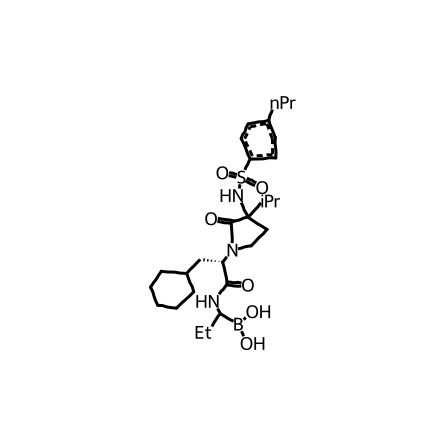 CCCc1ccc(S(=O)(=O)NC2(C(C)C)CCN([C@@H](CC3CCCCC3)C(=O)NC(CC)B(O)O)C2=O)cc1